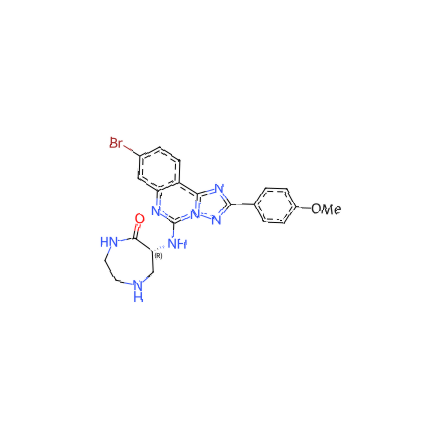 COc1ccc(-c2nc3c4ccc(Br)cc4nc(N[C@@H]4CNCCNC4=O)n3n2)cc1